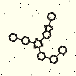 c1ccc(-c2ccc(-c3nc(-c4cccc(-c5cccc(-c6ccccc6)c5)c4)nc(-c4ccc5sc(-c6ccccc6)nc5c4)n3)cc2)cc1